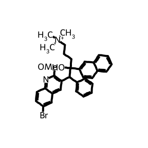 COc1nc2ccc(Br)cc2cc1C(c1ccccc1)C(O)(CCC[N+](C)(C)C)c1ccc2ccccc2c1